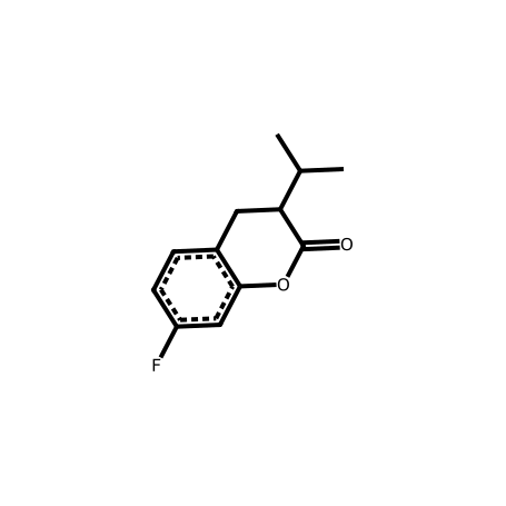 CC(C)C1Cc2ccc(F)cc2OC1=O